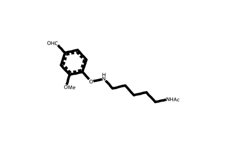 COc1cc(C=O)ccc1ONCCCCCNC(C)=O